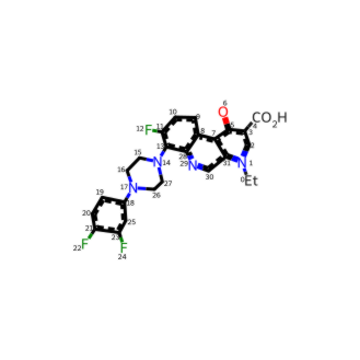 CCn1cc(C(=O)O)c(=O)c2c3ccc(F)c(N4CCN(c5ccc(F)c(F)c5)CC4)c3ncc21